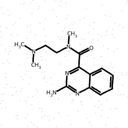 CN(C)CCN(C)C(=O)c1nc(N)nc2ccccc12